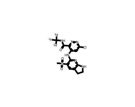 [2H]C([2H])([2H])NC(=O)c1nnc(Cl)cc1Nc1nc2c(cc1S(C)(=O)=O)CCN2